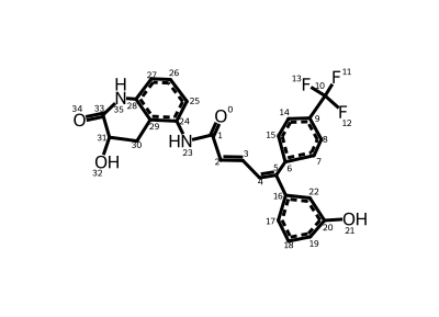 O=C(/C=C/C=C(\c1ccc(C(F)(F)F)cc1)c1cccc(O)c1)Nc1cccc2c1CC(O)C(=O)N2